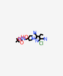 CCc1c(C#N)c(Cl)nc(N2CCC(O)(CNC(=O)OC(C)(C)C)CC2)c1C#N